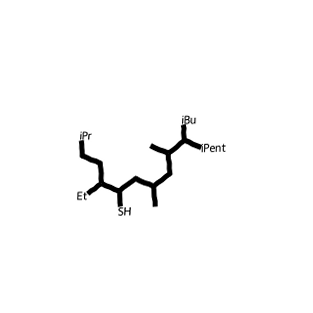 CCCC(C)C(C(C)CC)C(C)CC(C)CC(S)C(CC)CCC(C)C